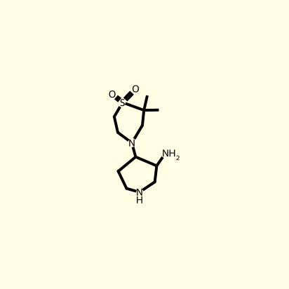 CC1(C)CN(C2CCNCC2N)CCS1(=O)=O